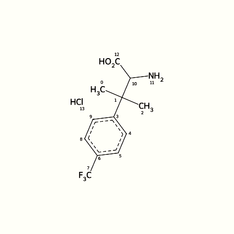 CC(C)(c1ccc(C(F)(F)F)cc1)C(N)C(=O)O.Cl